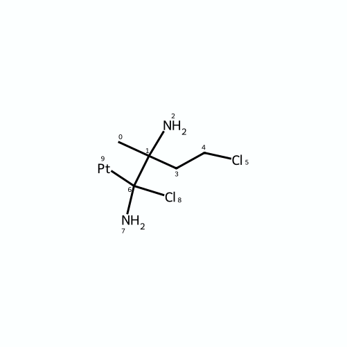 CC(N)(CCCl)[C](N)(Cl)[Pt]